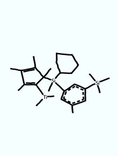 CC1=C(C)C(C)([Si](C)(c2cc(C)cc([Si](C)(C)C)c2)C2CCCCC2)[C]([Ti]([CH3])[CH3])=C1C